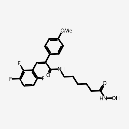 COc1ccc(C(=Cc2c(F)ccc(F)c2F)C(=O)NCCCCCC(=O)NO)cc1